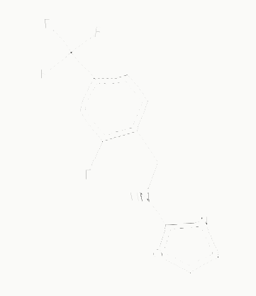 Fc1cc(C(F)(F)F)ccc1CNc1ncco1